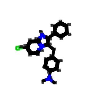 CN(C)c1ccc(Cc2c(-c3ccccc3)nc3cc(Cl)ccn23)cc1